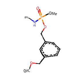 COP(=O)(NC(C)C)OCc1cccc(COC=O)c1